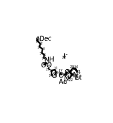 CCCCCCCCCCCCCCCCCNC(=O)OC[C@@H]1CO[C@@H](COC(=O)N(Cc2cccc[n+]2CC)C(C)=O)C1.[I-]